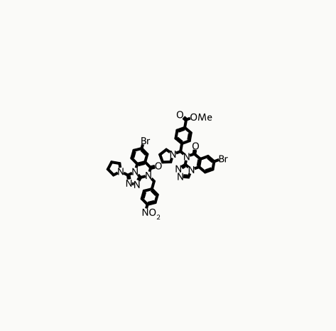 COC(=O)c1ccc(C(N2CCCC2)n2c(=O)c3cc(Br)ccc3n3cnnc23)cc1.O=c1c2cc(Br)ccc2n2c(N3CCCC3)nnc2n1Cc1ccc([N+](=O)[O-])cc1